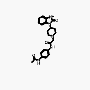 CC(=O)Nc1ccc(NC(=O)CN2CCC(n3c(=O)[nH]c4ccccc43)CC2)cc1